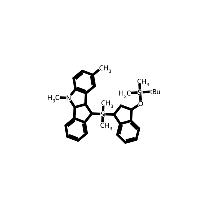 Cc1ccc2c(c1)C1C(c3ccccc3C1[Si](C)(C)C1CC(O[Si](C)(C)C(C)(C)C)c3ccccc31)N2C